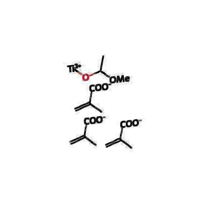 C=C(C)C(=O)[O-].C=C(C)C(=O)[O-].C=C(C)C(=O)[O-].COC(C)[O][Ti+3]